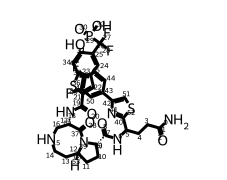 NC(=O)CCC(NC(=O)[C@@H]1CC[C@@H]2CCNC[C@H](NC(=O)c3cc4cc(C(F)(F)P(=O)(O)O)ccc4s3)C(=O)N21)c1nc(-c2ccc(F)c(F)c2)cs1